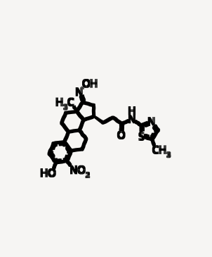 Cc1cnc(NC(=O)CC[C@@H]2C/C(=N\O)[C@@]3(C)CCC4c5ccc(O)c([N+](=O)[O-])c5CCC4C23)s1